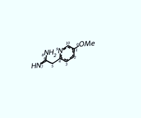 COc1ccc(CC(=N)N)nc1